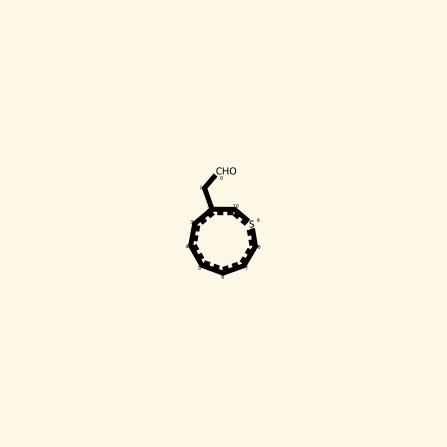 O=CCc1ccccccsc1